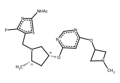 CC(=O)Nc1nc(F)c(CN2C[C@H](Oc3cc(OC4CN(C)C4)ncn3)C[C@@H]2C)s1